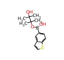 CC(C)(O)C(C)(C)OB(O)c1ccc2sccc2c1